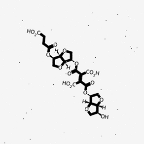 O=C(O)CCC(=O)O[C@@H]1CO[C@H]2[C@@H]1OC[C@@H]2OC(=O)/C(C(=O)O)=C(\C(=O)O)C(=O)O[C@@H]1CO[C@H]2[C@@H]1OC[C@@H]2O